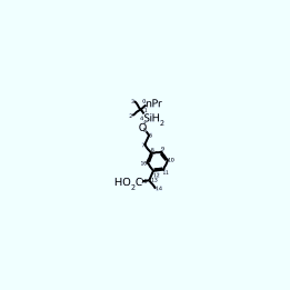 CCCC(C)(C)[SiH2]OCCc1cccc(C(C)C(=O)O)c1